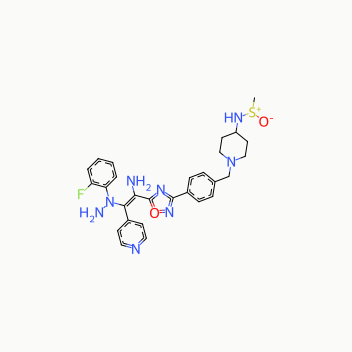 C[S+]([O-])NC1CCN(Cc2ccc(-c3noc(/C(N)=C(\c4ccncc4)N(N)c4ccccc4F)n3)cc2)CC1